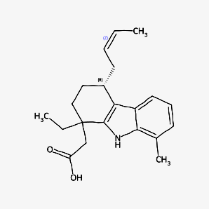 C/C=C\C[C@H]1CCC(CC)(CC(=O)O)c2[nH]c3c(C)cccc3c21